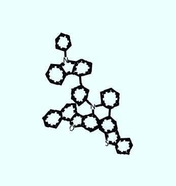 c1ccc(-n2c3ccccc3c3c(-c4cccc(N(c5ccccc5-c5ccc6sc7ccccc7c6c5)c5cccc6oc7c8ccccc8ccc7c56)c4)cccc32)cc1